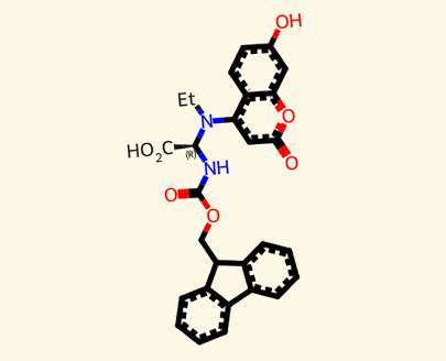 CCN(c1cc(=O)oc2cc(O)ccc12)[C@@H](NC(=O)OCC1c2ccccc2-c2ccccc21)C(=O)O